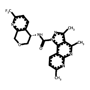 Cc1ccc2c(n1)nc(C)c1c(C)nn(C(=O)N[C@@H]3COCc4nc(C(F)(F)F)ccc43)c12